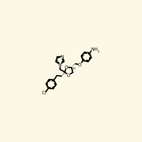 Nc1ccc(OC[C@@H]2CO[C@@](CCc3ccc(Cl)cc3)(Cn3ccnc3)O2)cc1